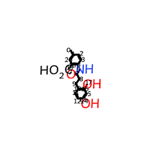 Cc1ccc(NC(=O)CCc2ccc(O)cc2O)c(C(=O)O)c1